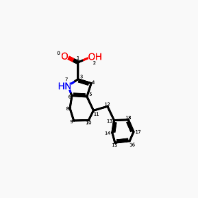 O=C(O)c1cc2c([nH]1)CCCC2Cc1ccccc1